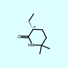 CC[C@@H]1CCC(C)(C)NC1=O